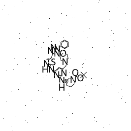 CC(C)(C)OC(=O)N1CCC[C@H](Nc2nc(CN3CCOCC3)cc(Nc3ncc(-c4nnn(-c5ccccc5)n4)s3)n2)C1